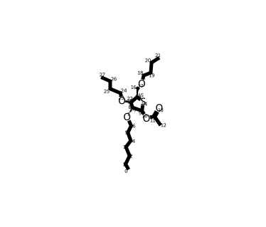 CCCCCCCO[C@H]1C(OC(C)=O)S[C@H](COCCCC)[C@@H]1OCCCC